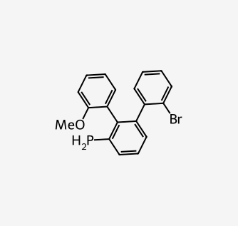 COc1ccccc1-c1c(P)cccc1-c1ccccc1Br